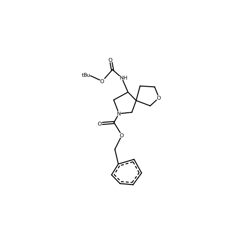 CC(C)(C)OC(=O)NC1CN(C(=O)OCc2ccccc2)CC12CCOC2